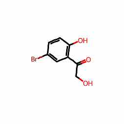 O=C(CO)c1cc(Br)ccc1O